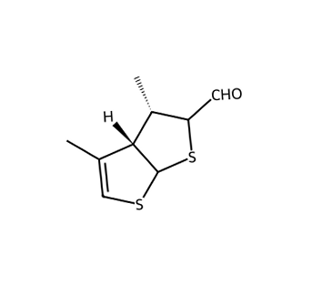 CC1=CSC2SC(C=O)[C@@H](C)[C@@H]12